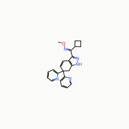 CON=C(c1n[nH]c2c1C=CC(c1ccccn1)(c1ccccn1)C2)C1CCC1